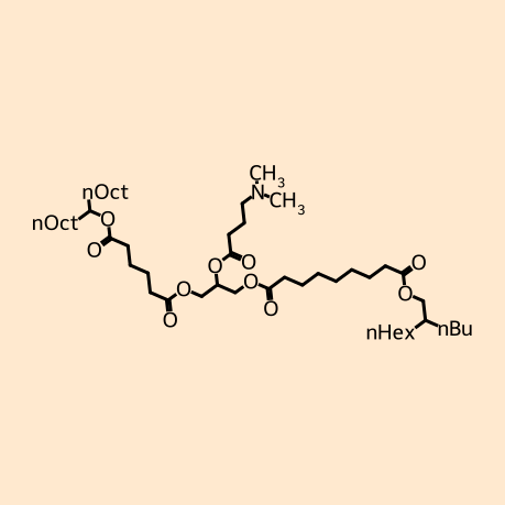 CCCCCCCCC(CCCCCCCC)OC(=O)CCCCC(=O)OCC(COC(=O)CCCCCCCC(=O)OCC(CCCC)CCCCCC)OC(=O)CCCN(C)C